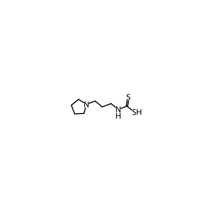 S=C(S)NCCCN1CCCC1